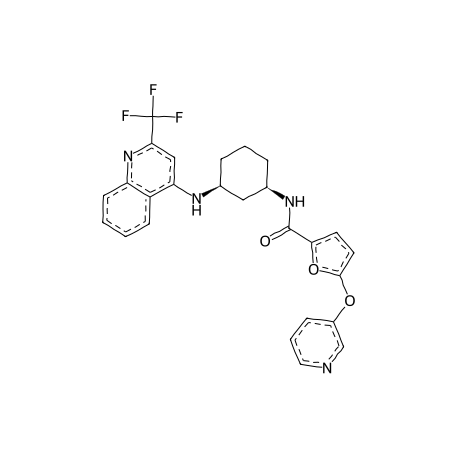 O=C(N[C@@H]1CCC[C@H](Nc2cc(C(F)(F)F)nc3ccccc23)C1)c1ccc(Oc2cccnc2)o1